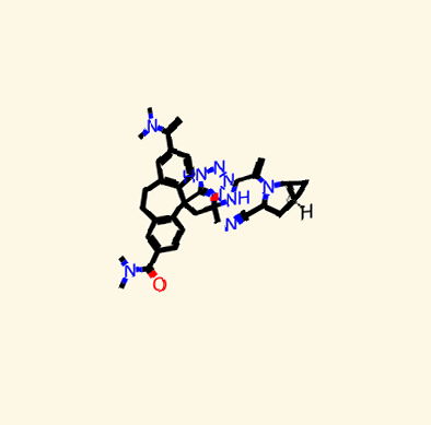 C=C(c1ccc2c(c1)CCc1cc(C(=O)N(C)C)ccc1C2(CC(C)(C)NCC(=C)N1C(C#N)C[C@@H]2CC21)c1nnn[nH]1)N(C)C